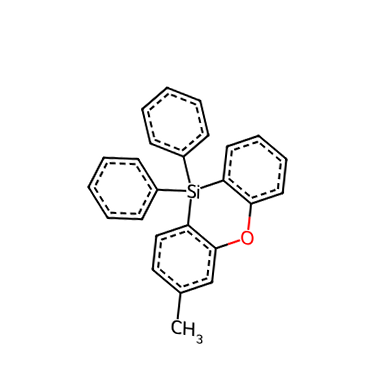 Cc1ccc2c(c1)Oc1ccccc1[Si]2(c1ccccc1)c1ccccc1